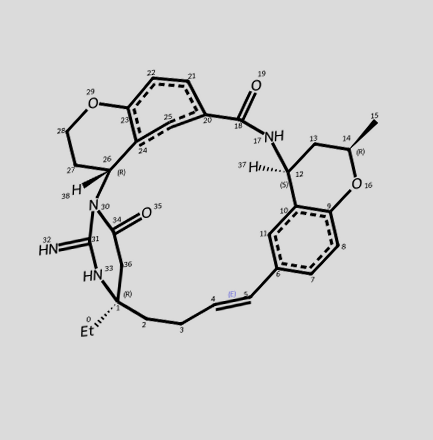 CC[C@]12CC/C=C/c3ccc4c(c3)[C@H](C[C@@H](C)O4)NC(=O)c3ccc4c(c3)[C@@H](CCO4)N(C(=N)N1)C(=O)C2